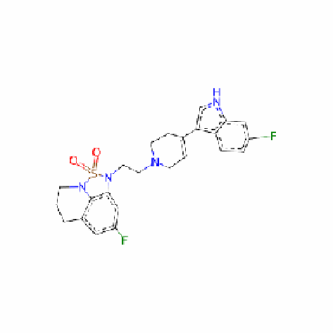 O=S1(=O)N(CCN2CC=C(c3c[nH]c4cc(F)ccc34)CC2)c2cc(F)cc3c2N1CCC3